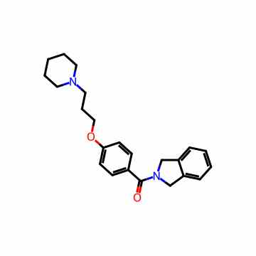 O=C(c1ccc(OCCCN2CCCCC2)cc1)N1Cc2ccccc2C1